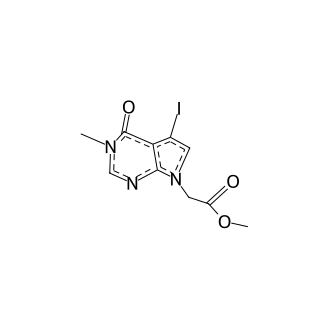 COC(=O)Cn1cc(I)c2c(=O)n(C)cnc21